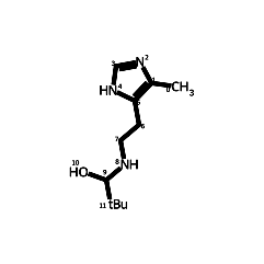 Cc1nc[nH]c1CCNC(O)C(C)(C)C